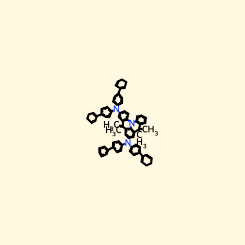 CC1(C)c2ccccc2N2c3ccc(N(c4ccc(C5=CCCC=C5)cc4)c4ccc(C5=CCCC=C5)cc4)cc3C(C)(C)c3cc(N(c4ccc(C5=CCCC=C5)cc4)c4ccc(-c5ccccc5)cc4)cc1c32